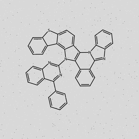 c1ccc(-c2nc(-n3c4c(ccc5sc6ccccc6c54)c4c3c3ccccc3c3nc5ccccc5n34)nc3ccccc23)cc1